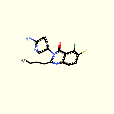 CCCCc1nc2ccc(F)c(Cl)c2c(=O)n1-c1ccc(N)nc1